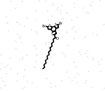 CCCCCCCCCCCCCCCC(=O)c1cc2c(s1)c1c(c3sc(Br)cc32)SC(Br)C1